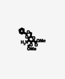 COCOC1C(C(=O)OC)OC2COC(c3ccccc3)OC2C1N